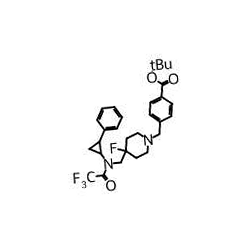 CC(C)(C)OC(=O)c1ccc(CN2CCC(F)(CN(C(=O)C(F)(F)F)C3CC3c3ccccc3)CC2)cc1